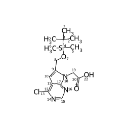 CC(C)(C)[Si](C)(C)OCc1cc2c(Cl)ncnc2n1CC(=O)O